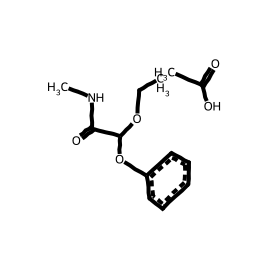 CC(=O)O.CCOC(Oc1ccccc1)C(=O)NC